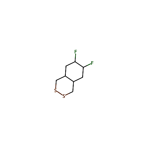 FC1CC2CSSCC2CC1F